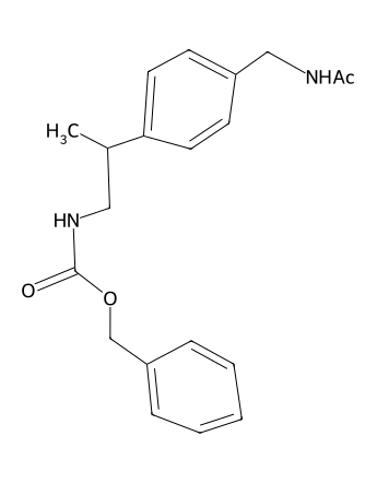 CC(=O)NCc1ccc(C(C)CNC(=O)OCc2ccccc2)cc1